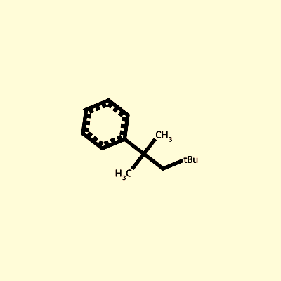 CC(C)(C)CC(C)(C)c1cc[c]cc1